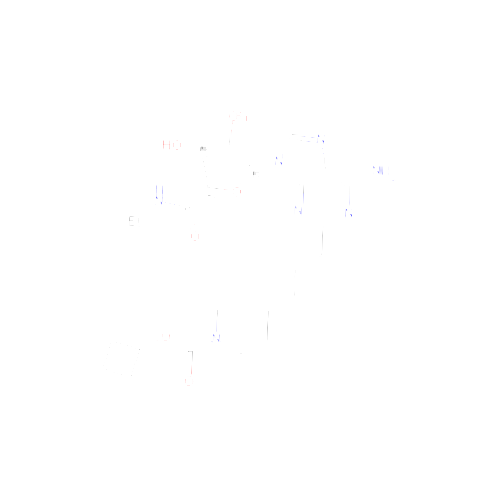 CCNC(=O)[C@H]1O[C@@H](n2cnc3c(N)nc(CCCC4CCN(C(=O)OC5CCC5)CC4)nc32)C(O)[C@H]1O